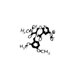 COc1ccc(CN2C(=O)c3cc([N+](=O)[O-])cnc3OCC2C(=O)N(C)C)c(OC)c1